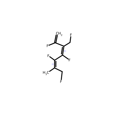 C=C(F)/C(CF)=C(F)\C(F)=C(\C)CF